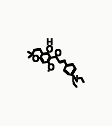 CCN(CC)c1ccc(/C=C/C(=O)c2c(OC)cc3c(c2O)C=CC(C)(C)O3)cc1